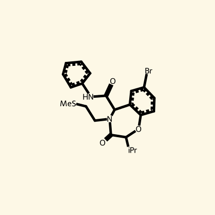 CSCCN1C(=O)C(C(C)C)Oc2ccc(Br)cc2C1C(=O)Nc1ccccc1